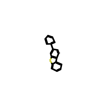 [c]1cc(-c2ccccc2)cc2sc3ccccc3c12